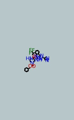 C=C(c1cccc2c1nc(N[C@@H]1CN(C(=O)OCc3ccccc3)CCNC1=O)n1nc(-c3cnn(C)c3)nc21)C(F)(F)F